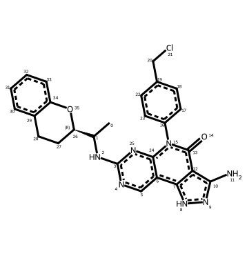 CC(Nc1ncc2c3[nH]nc(N)c3c(=O)n(-c3ccc(CCl)cc3)c2n1)[C@H]1CCc2ccccc2O1